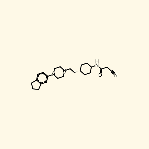 N#CCC(=O)N[C@H]1CC[C@H](CCN2CCN(c3ccc4c(c3)CCC4)CC2)CC1